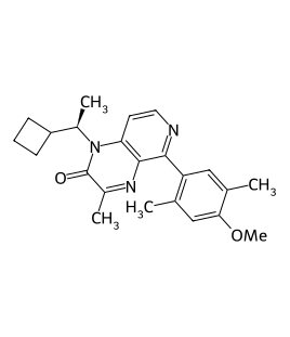 COc1cc(C)c(-c2nccc3c2nc(C)c(=O)n3[C@H](C)C2CCC2)cc1C